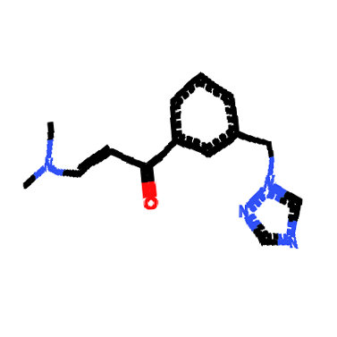 CN(C)C=CC(=O)c1cccc(Cn2cncn2)c1